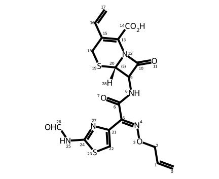 C=CCON=C(C(=O)NC1C(=O)N2C(C(=O)O)=C(C=C)CS[C@@H]12)c1csc(NC=O)n1